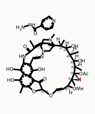 CO[C@H]1/C=C/O[C@@]2(C)Oc3c(C)c(O)c4c(O)c(c(/C=N/N5CCN(C)CC5)c(O)c4c3C2=O)NC(=O)/C(C)=C\C=C\[C@H](C)[C@H](O)[C@@H](C)[C@@H](O)[C@@H](C)[C@H](OC(C)=O)[C@@H]1C.NNC(=O)c1ccncc1